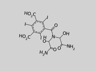 NC(=O)C(O)N(C(=O)c1c(I)c(C(=O)O)c(I)c(C(=O)O)c1I)C(O)C(N)=O